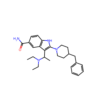 CCN(CC)C(C)c1c(N2CCC(Cc3ccccc3)CC2)[nH]c2ccc(C(N)=O)cc12